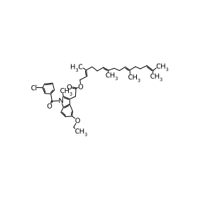 CCOc1ccc2c(c1)c(CC(=O)OC/C=C(\C)CC/C=C(\C)CC/C=C(\C)CCC=C(C)C)c(C)n2C(=O)c1cccc(Cl)c1